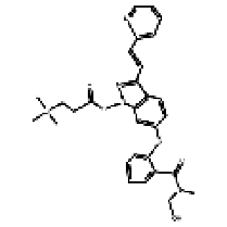 CN(CO)C(=O)c1ccccc1Sc1ccc2c(/C=C/c3ccccn3)nn(OC(=O)CC[Si](C)(C)C)c2c1